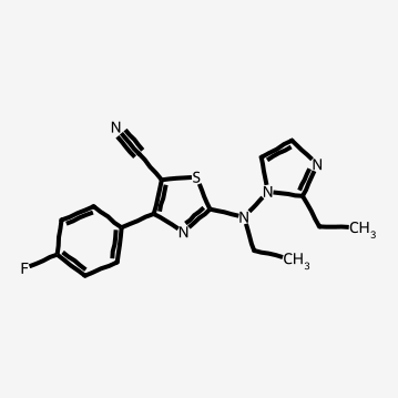 CCc1nccn1N(CC)c1nc(-c2ccc(F)cc2)c(C#N)s1